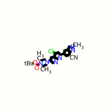 C[C@@H]1CN(c2cnc3nc(-c4cc(C#N)c5nn(C)cc5c4)cc(Cl)c3c2)C[C@H](C)N1C(=O)OC(C)(C)C